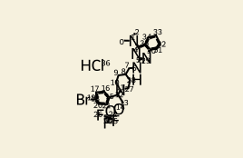 CN(C)c1nc(NCC2CCN(C(C=O)c3ccc(Br)cc3OC(F)(F)F)CC2)nc2ccccc12.Cl